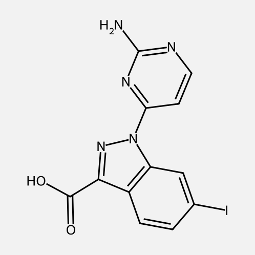 Nc1nccc(-n2nc(C(=O)O)c3ccc(I)cc32)n1